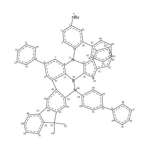 CCCCc1ccc(N2c3cc(-c4ccccc4)cc4c3B(c3sc5ccccc5c32)N(c2ccc(-c3ccccc3)cc2)c2cc3c(cc2-4)-c2ccccc2C3(C)C)c(-c2ccccc2)c1